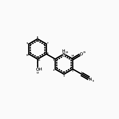 N#Cc1ccc(-c2ccccc2O)[nH]c1=O